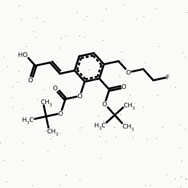 CC(C)(C)OC(=O)Oc1c(/C=C/C(=O)O)ccc(COCCF)c1C(=O)OC(C)(C)C